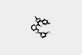 Cc1nc(C(=O)N2CCCCC2CNc2nccc(C(F)(F)F)n2)c(-c2ccc(F)cc2)s1